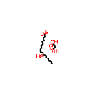 CCCCCCC(O)C/C=C\CCCCCCCC(=O)OC.O=C(O)/C=C\C(=O)O